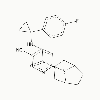 N#Cc1ccc(N2C3CCC2CN(C(=O)CNC2(c4ccc(F)cc4)CC2)C3)nc1